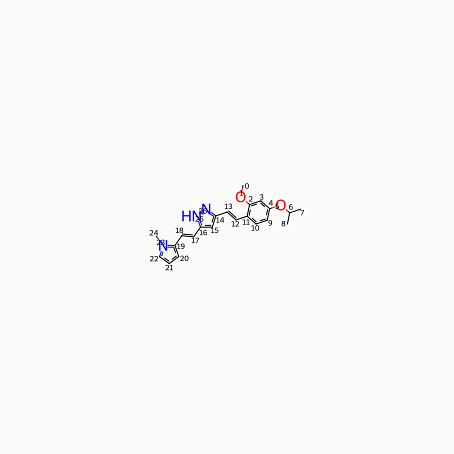 COc1cc(OC(C)C)ccc1/C=C/c1cc(/C=C/c2cccn2C)[nH]n1